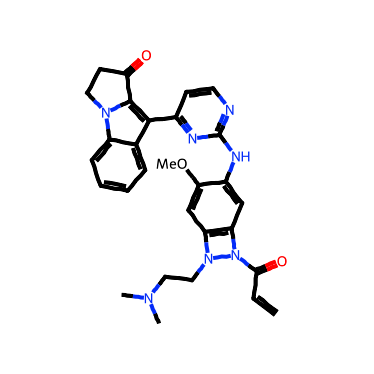 C=CC(=O)n1c2cc(Nc3nccc(-c4c5n(c6ccccc46)CCC5=O)n3)c(OC)cc2n1CCN(C)C